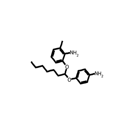 CCCCCCC(Oc1ccc(N)cc1)Oc1cccc(C)c1N